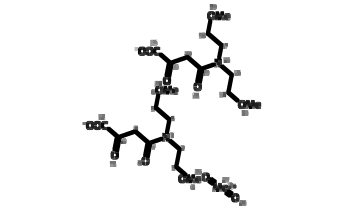 COCCN(CCOC)C(=O)CC(=O)C(=O)[O-].COCCN(CCOC)C(=O)CC(=O)C(=O)[O-].[O]=[Mo+2]=[O]